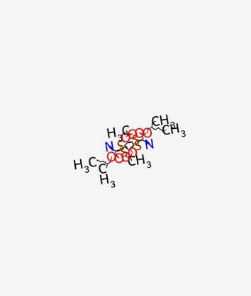 CCCCC(CC)COC(=O)C(C#N)=C1Sc2c(OC(C)=O)c3c(c(OC(C)=O)c2S1)SC(=C(C#N)C(=O)OCC(CC)CCCC)S3